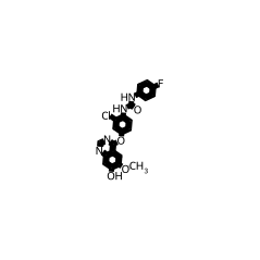 COc1cc2c(Oc3ccc(NC(=O)Nc4ccc(F)cc4)c(Cl)c3)ncnc2cc1O